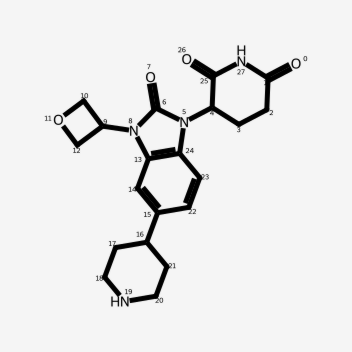 O=C1CCC(n2c(=O)n(C3COC3)c3cc(C4CCNCC4)ccc32)C(=O)N1